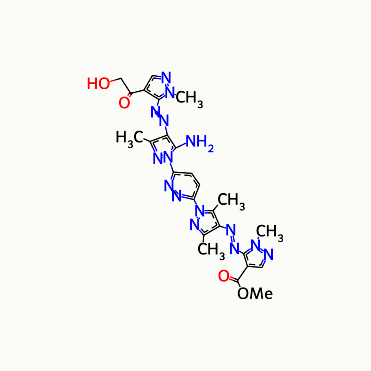 COC(=O)c1cnn(C)c1/N=N/c1c(C)nn(-c2ccc(-n3nc(C)c(/N=N/c4c(C(=O)CO)cnn4C)c3N)nn2)c1C